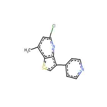 Cc1cc(Cl)nc2c(-c3ccncc3)csc12